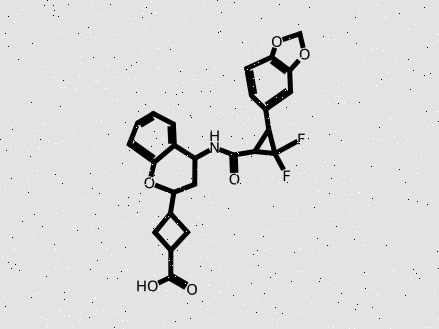 O=C(O)C1CC(C2CC(NC(=O)C3C(c4ccc5c(c4)OCO5)C3(F)F)c3ccccc3O2)C1